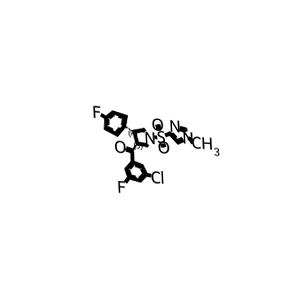 Cn1cnc(S(=O)(=O)N2C[C@@H](C(=O)c3cc(F)cc(Cl)c3)[C@H](c3ccc(F)cc3)C2)c1